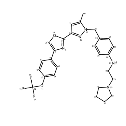 Cc1cc(-c2nc(-c3ccc(OC(F)(F)F)cc3)no2)nn1Cc1ccc(NCCN2CCCC2)cc1